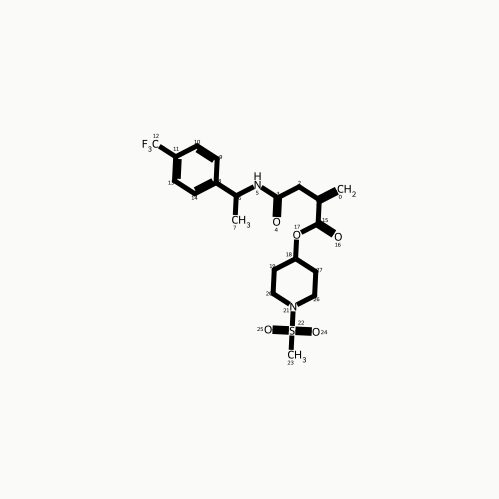 C=C(CC(=O)NC(C)c1ccc(C(F)(F)F)cc1)C(=O)OC1CCN(S(C)(=O)=O)CC1